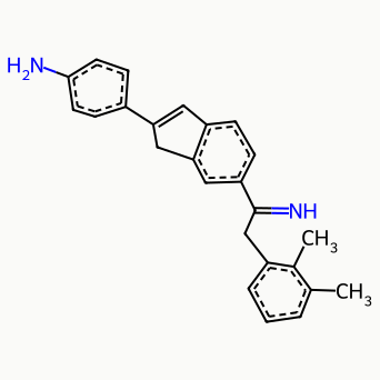 Cc1cccc(CC(=N)c2ccc3c(c2)CC(c2ccc(N)cc2)=C3)c1C